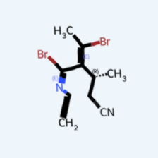 C=C/N=C(Br)\C(=C(/C)Br)[C@H](C)CC#N